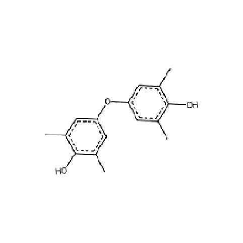 Cc1cc(Oc2cc(C)c(O)c(C)c2)cc(C)c1O